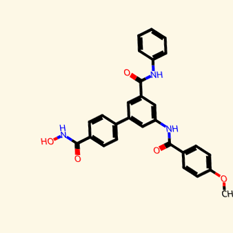 COc1ccc(C(=O)Nc2cc(C(=O)Nc3ccccc3)cc(-c3ccc(C(=O)NO)cc3)c2)cc1